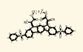 N#C/C(C(=O)OC(F)(F)F)=C1\c2cc(S(=O)(=O)c3ccccc3)ccc2-c2cc3c(cc21)/C(=C(/C#N)C(=O)OC(F)(F)F)c1cc(S(=O)(=O)c2ccccc2)ccc1-3